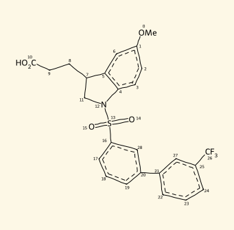 COc1ccc2c(c1)C(CCC(=O)O)CN2S(=O)(=O)c1cccc(-c2cccc(C(F)(F)F)c2)c1